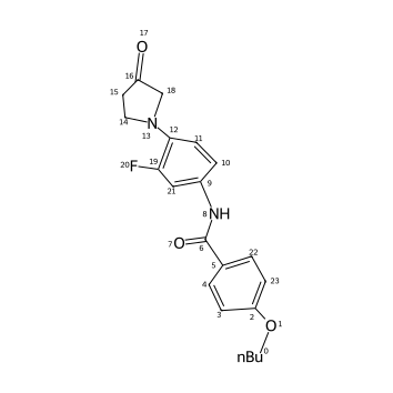 CCCCOc1ccc(C(=O)Nc2ccc(N3CCC(=O)C3)c(F)c2)cc1